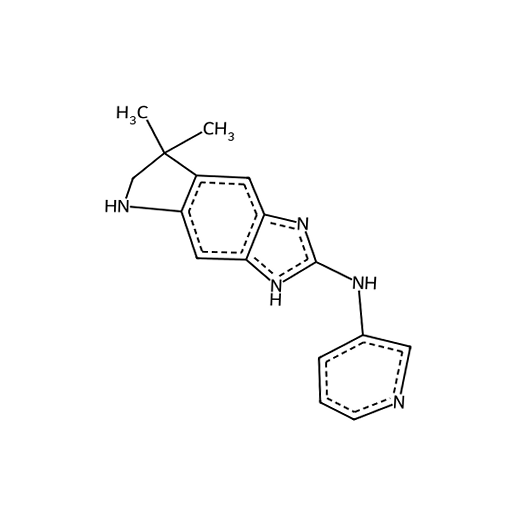 CC1(C)CNc2cc3[nH]c(Nc4cccnc4)nc3cc21